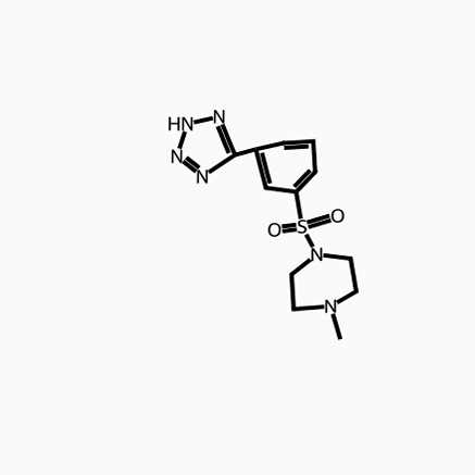 CN1CCN(S(=O)(=O)c2cccc(-c3nn[nH]n3)c2)CC1